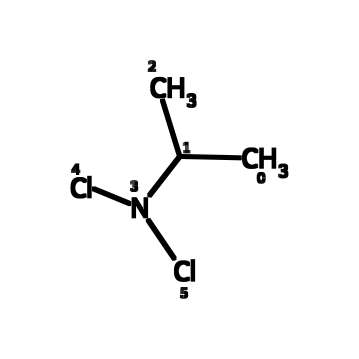 CC(C)N(Cl)Cl